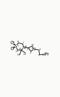 CC(C)CCN1CC(N2CCS(=O)(=O)CC2(C)C)C1